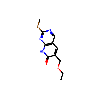 CCOCc1cc2cnc(SC)nc2[nH]c1=O